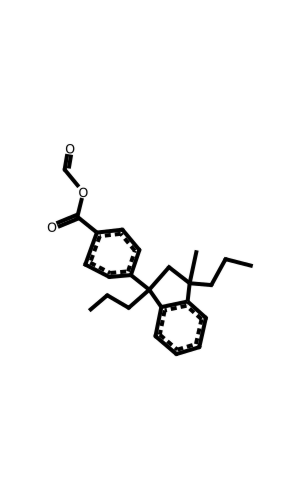 CCCC1(C)CC(CCC)(c2ccc(C(=O)OC=O)cc2)c2ccccc21